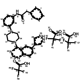 O=C(Cc1ccccc1)Nc1cccc(N2CCN(c3ncnc4ccc(-c5cn[nH]c5)cc34)CC2)c1.O=C(O)C(F)(F)F.O=C(O)C(F)(F)F.O=C(O)C(F)(F)F